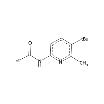 CCC(=O)Nc1ccc(C(C)(C)C)c(C)n1